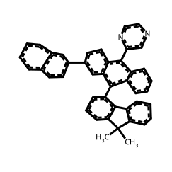 CC1(C)c2ccccc2-c2c(-c3c4ccccc4c(-c4cnccn4)c4ccc(-c5ccc6ccccc6c5)cc34)cccc21